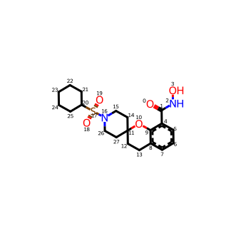 O=C(NO)c1cccc2c1OC1(CC2)CCN(S(=O)(=O)C2CCCCC2)CC1